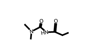 CCC(=O)NC(=O)N(C)C